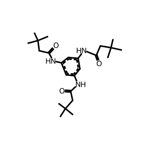 CC(C)(C)CC(=O)Nc1cc(NC(=O)CC(C)(C)C)cc(NC(=O)CC(C)(C)C)c1